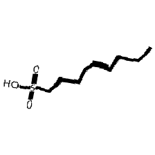 CCCC=CCCCS(=O)(=O)O